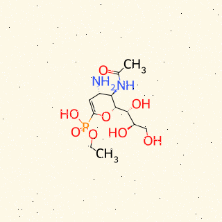 CCOP(=O)(O)C1=C[C@H](N)[C@@H](NC(C)=O)[C@H]([C@H](O)[C@H](O)CO)O1